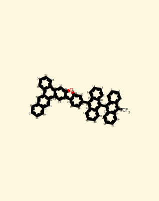 FC(F)(F)c1c2ccccc2c(-c2c3ccccc3c(-c3ccc4c(c3)oc3cc5c6ccccc6c6cc7ccccc7cc6c5cc34)c3ccccc23)c2ccccc12